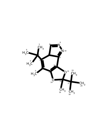 CC1=C(C(C)(C)C)C2C=NN=C2C2=C1OC(C)(C(C)(C)C)O2